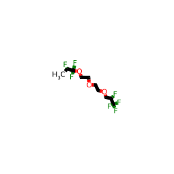 CC(F)C(F)(F)OCCOCCOCC(F)C(F)(F)F